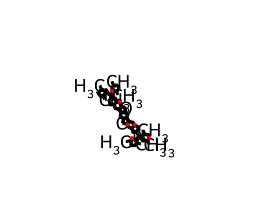 CC1=CCC(C)C(N(c2ccc3cc4c(cc3c2)oc2cc3c(cc24)oc2cc4cc(N(c5cc(C)ccc5C)c5cc(C)ccc5C)ccc4cc23)c2cc(C)ccc2C)=C1